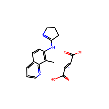 Cc1c(NC2=NCCC2)ccc2cccnc12.O=C(O)/C=C/C(=O)O